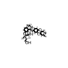 Cc1ccc(Oc2ccc(Nc3ncnc4cccc(O[C@H](C)C(=O)N(C)CCO)c34)cc2Cl)cn1